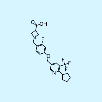 O=C(O)C1CN(Cc2ccc(OCc3cnc(C4CCCC4)c(C(F)(F)F)c3)cc2F)C1